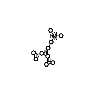 c1ccc(-c2nc(-c3ccccc3)nc(-c3ccc(-c4ccc(-n5c6ccc(-n7c8ccccc8c8ccccc87)cc6c6cc(-n7c8ccccc8c8ccccc87)ccc65)cc4)cc3)n2)cc1